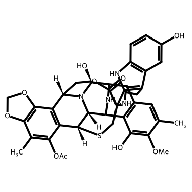 COc1c(C)cc2c(c1O)C1NC(C2)[C@H](O)N2[C@H]1[C@@H]1SC[C@]3(NCCc4c3[nH]c3ccc(O)cc43)C(=O)OC[C@H]2c2c3c(c(C)c(OC(C)=O)c21)OCO3